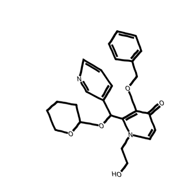 O=c1ccn(CCO)c(C(OC2CCCCO2)c2cccnc2)c1OCc1ccccc1